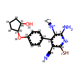 [C-]#[N+]c1c(N)nc(S)c(C#N)c1-c1ccc(O[C@H]2CCC[C@H]2O)cc1